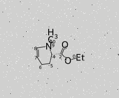 CCOC(=O)[C@@H]1CCC=CN1C